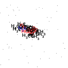 CCC(C)CC(=O)OC(C)CC(c1ccc(OC(=O)OC(C)CC)c(OC(=O)OC(C)CC)c1)[C@H](N)C(=O)O